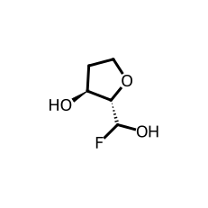 OC(F)[C@H]1OCC[C@@H]1O